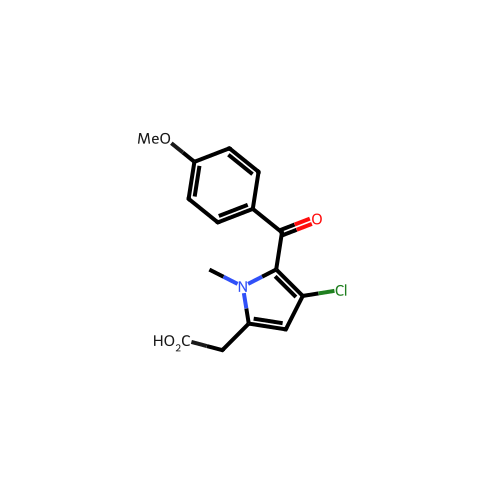 COc1ccc(C(=O)c2c(Cl)cc(CC(=O)O)n2C)cc1